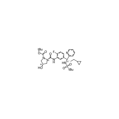 CC(C)(C)OC(=O)N1C[C@H](O)C[C@@H]1C(=O)Nc1cc([C@](CCC2CC2)(NS(=O)(=O)C(C)(C)C)c2ccccn2)ccc1F